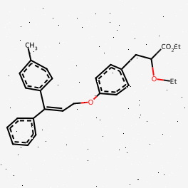 CCOC(=O)C(Cc1ccc(OC/C=C(/c2ccccc2)c2ccc(C)cc2)cc1)OCC